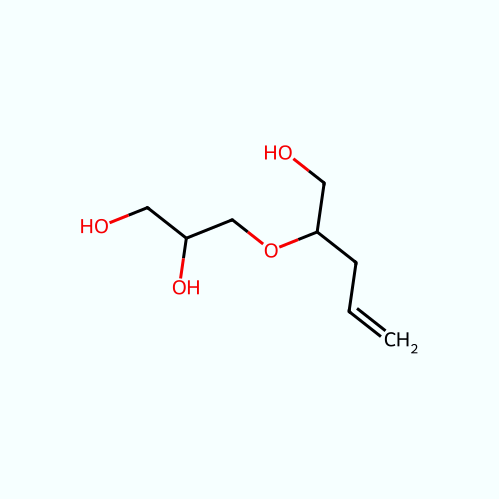 C=CCC(CO)OCC(O)CO